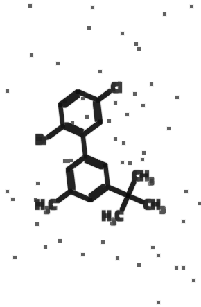 Cc1cc(-c2cc(Cl)ccc2Br)cc(C(C)(C)C)c1